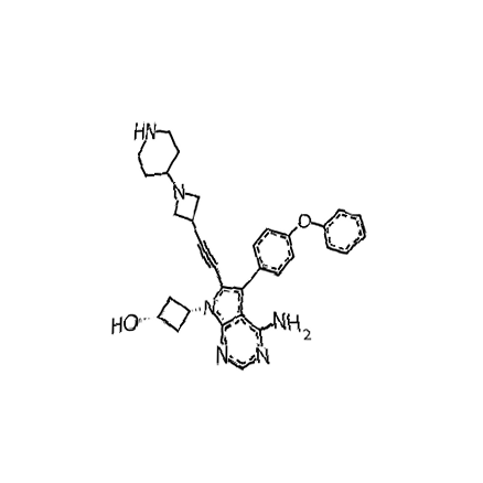 Nc1ncnc2c1c(-c1ccc(Oc3ccccc3)cc1)c(C#CC1CN(C3CCNCC3)C1)n2[C@H]1C[C@@H](O)C1